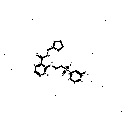 O=C(NCC1CCCC1)c1cccnc1SCCS(=O)(=O)c1cccc(C(F)(F)F)c1